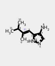 C/C(=C\c1[nH]ncc1N)C(C)C